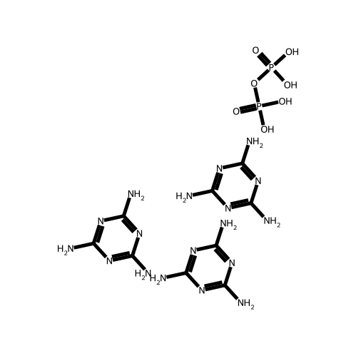 Nc1nc(N)nc(N)n1.Nc1nc(N)nc(N)n1.Nc1nc(N)nc(N)n1.O=P(O)(O)OP(=O)(O)O